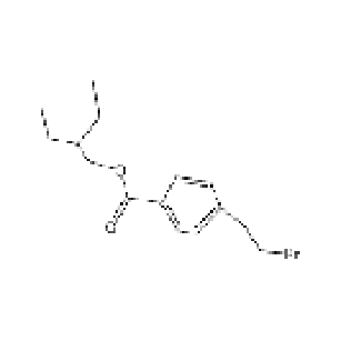 CCC(CC)COC(=O)c1ccc(CCBr)cc1